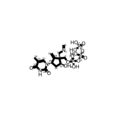 C=NC[C@]1(COP(=O)(O)OP(=O)(O)OP(=O)(O)O)C(=C)[C@@H](n2cc(C)c(=O)[nH]c2=O)C[C@@H]1O